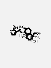 C=C1CCC2[C@](C)(CO)[C@H](O)CC[C@]2(C)[C@@H]1CC(C)C1=CCOC1=O